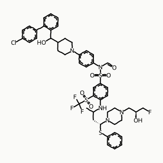 CC(C[C@@H](Sc1ccccc1)N1CCN(C[C@H](O)CF)CC1)Nc1ccc(S(=O)(=O)N(C=O)c2ccc(N3CCC(C(O)c4ccccc4-c4ccc(Cl)cc4)CC3)cc2)cc1S(=O)(=O)C(F)(F)F